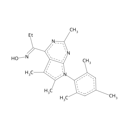 CCC(=NO)c1nc(C)nc2c1c(C)c(C)n2-c1c(C)cc(C)cc1C